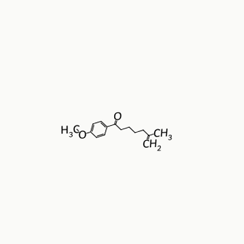 C=C(C)CCCCC(=O)c1ccc(OC)cc1